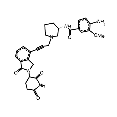 COc1cc(C(=O)N[C@H]2CCCN(CC#Cc3cccc4c3CN(C3CCC(=O)NC3=O)C4=O)C2)ccc1N